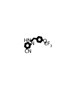 N#Cc1ccc2[nH]c(Cc3ccc(OC(F)(F)F)cc3)nc2c1